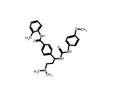 COc1ccc(NC(=O)NC(CCN(C)C)c2ccc(C(=O)Nc3ccccc3N)cc2)cc1